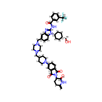 C=C1CCC(N2C(=O)c3ccc(N4CCC(CN5CCN(Cc6ccc7c(c6)nc(NC(=O)c6cccc(C(F)(F)F)c6)n7[C@H]6CC[C@@H](CO)CC6)CC5)CC4)cc3C2=O)C(=O)N1